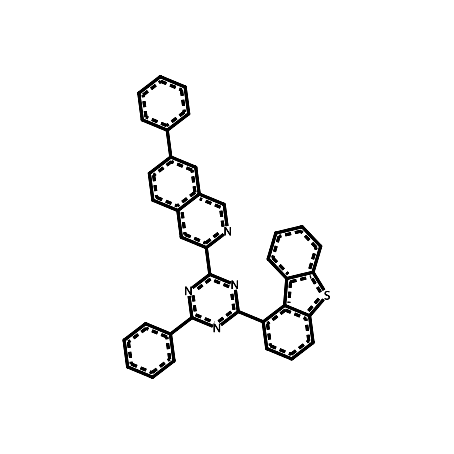 c1ccc(-c2ccc3cc(-c4nc(-c5ccccc5)nc(-c5cccc6sc7ccccc7c56)n4)ncc3c2)cc1